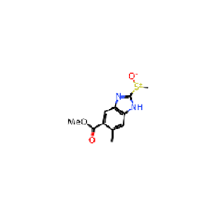 COC(=O)c1cc2nc([S+](C)[O-])[nH]c2cc1C